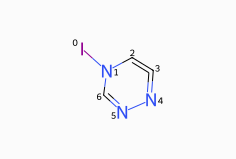 IN1C=C=NN=C1